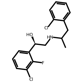 CC(Cc1ccccc1Cl)NC[C@H](O)c1cccc(Cl)c1F